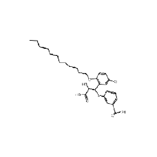 CCCCCCCCCCCCOc1ccc(Cl)cc1C(Sc1cccc(C(=O)O)c1)C(O)C(=O)O